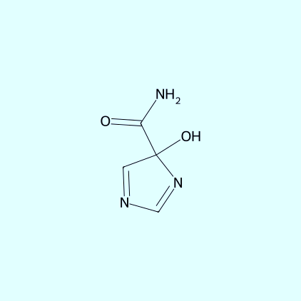 NC(=O)C1(O)C=NC=N1